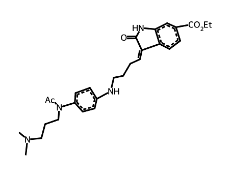 CCOC(=O)c1ccc2c(c1)NC(=O)/C2=C\CCCNc1ccc(N(CCCN(C)C)C(C)=O)cc1